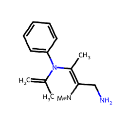 C=C(C)N(/C(C)=C(/CN)NC)c1ccccc1